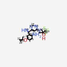 CC1(Oc2ccc(N)c(C(=N)c3cc(N4CC(O)(C(F)(F)F)C4)ncn3)c2)CC1